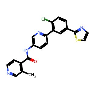 Cc1cnccc1C(=O)Nc1ccc(-c2cc(-c3nccs3)ccc2Cl)nc1